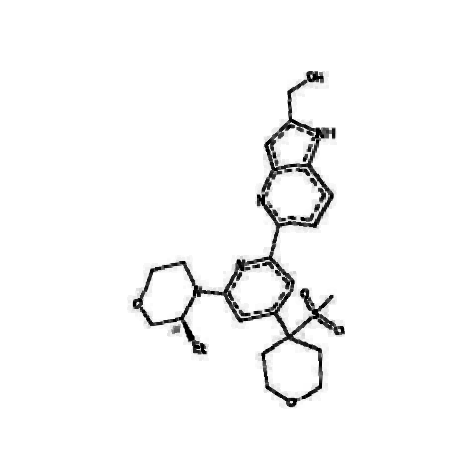 CC[C@H]1COCCN1c1cc(C2(S(C)(=O)=O)CCOCC2)cc(-c2ccc3[nH]c(CO)cc3n2)n1